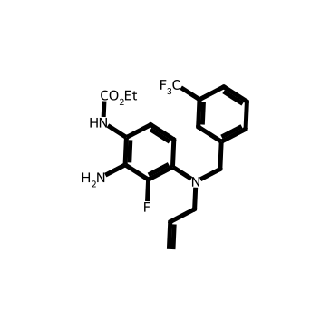 C=CCN(Cc1cccc(C(F)(F)F)c1)c1ccc(NC(=O)OCC)c(N)c1F